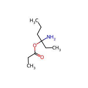 CCCC(N)(CC)OC(=O)CC